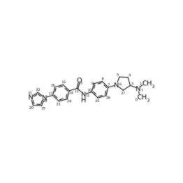 CN(C)C1CCN(c2ccc(NC(=O)c3ccc(-n4ccnc4)cc3)cc2)C1